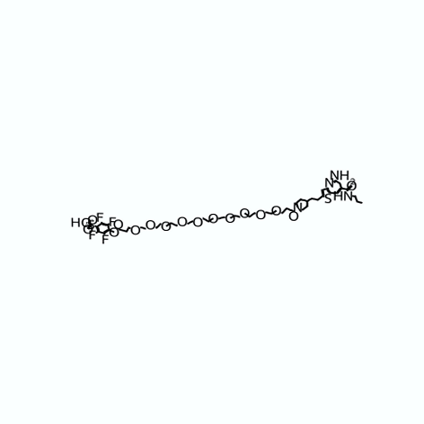 CCCNC(=O)C1=Cc2sc(CCC3CCN(C(=O)CCOCCOCCOCCOCCOCCOCCOCCOCCOCCOCCC(=O)Oc4c(F)c(F)c(S(=O)(=O)O)c(F)c4F)CC3)cc2N=C(N)C1